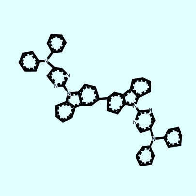 c1ccc(N(c2ccccc2)c2cnc(-n3c4ccccc4c4cc(-c5ccc6c(c5)c5ccccc5n6-c5ncc(N(c6ccccc6)c6ccccc6)cn5)ccc43)nc2)cc1